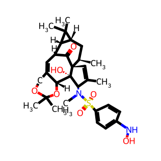 CC1=C[C@]23C(=O)[C@@H](C=C4COC(C)(C)O[C@H]4[C@]2(O)[C@H]1N(C)S(=O)(=O)c1ccc(NO)cc1)[C@H]1[C@@H](C[C@H]3C)C1(C)C